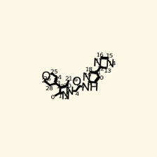 Cc1nn(CC(=O)Nc2ccc(-c3cnccn3)cn2)c(C)c1C1=CCOCC1